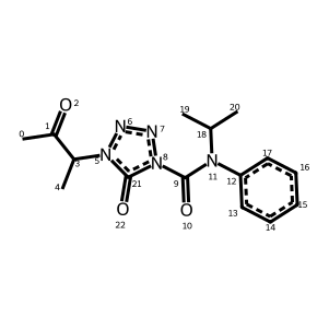 CC(=O)C(C)n1nnn(C(=O)N(c2ccccc2)C(C)C)c1=O